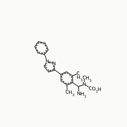 Cc1cc(-c2ccn(-c3ccccc3)n2)cc(C)c1C(N)N(C)C(=O)O